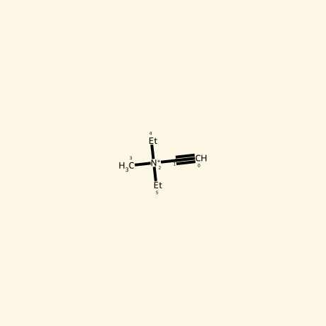 C#C[N+](C)(CC)CC